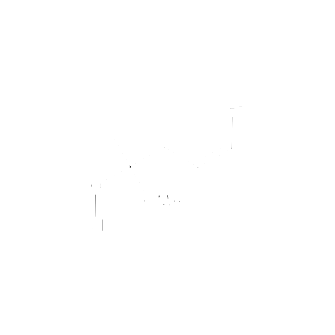 CC/C=C\CC(C)(OC)OCl